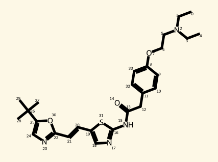 CCN(CC)CCOc1ccc(CC(=O)Nc2ncc(/C=C/c3ncc(C(C)(C)C)o3)s2)cc1